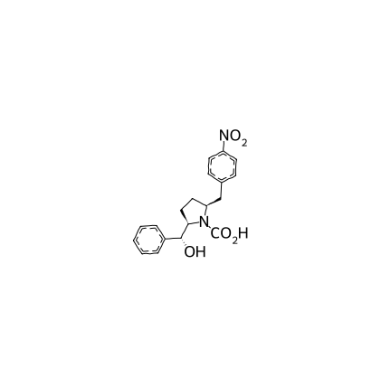 O=C(O)N1[C@H](Cc2ccc([N+](=O)[O-])cc2)CC[C@@H]1[C@H](O)c1ccccc1